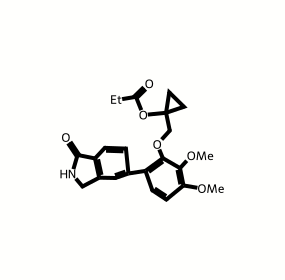 CCC(=O)OC1(COc2c(-c3ccc4c(c3)CNC4=O)ccc(OC)c2OC)CC1